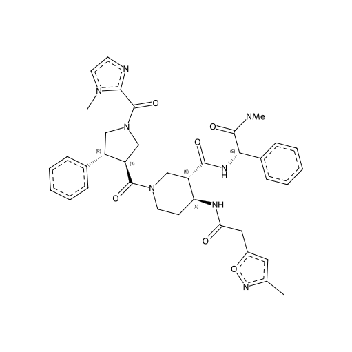 CNC(=O)[C@@H](NC(=O)[C@H]1CN(C(=O)[C@@H]2CN(C(=O)c3nccn3C)C[C@H]2c2ccccc2)CC[C@@H]1NC(=O)Cc1cc(C)no1)c1ccccc1